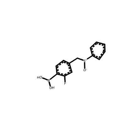 [O-][S+](Cc1ccc(B(O)O)c(F)c1)c1ccccc1